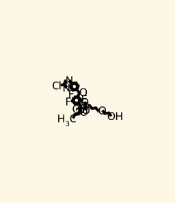 CCCS(=O)(=O)N(c1cc(F)c(F)c(C(=O)c2ccc3ncc(Cl)nc3c2)c1F)S(=O)(=O)CCCCOCCO